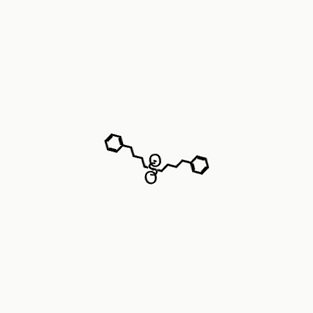 O=S(=O)(CCCCc1ccccc1)CCCCc1ccccc1